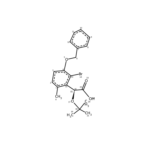 Cc1ccc(OCc2ccccc2)c(Br)c1[C@H](OC(C)(C)C)C(=O)O